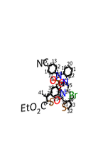 CCOC(=O)c1sc2ccc(S(=O)(=O)N(c3ccc(C#N)cc3)c3ccccc3N3CCN(C(=O)c4sccc4Br)CC3)cc2c1C